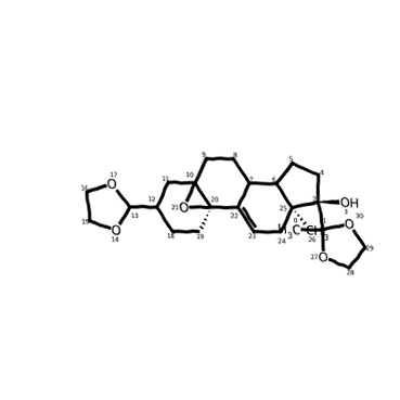 CC1([C@@]2(O)CCC3C4CCC56CC(C7OCCO7)CC[C@@]5(O6)C4=CC[C@@]32C)OCCO1